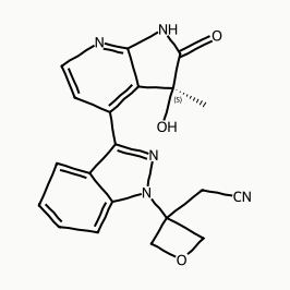 C[C@@]1(O)C(=O)Nc2nccc(-c3nn(C4(CC#N)COC4)c4ccccc34)c21